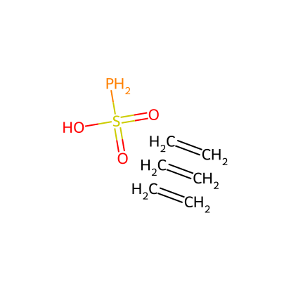 C=C.C=C.C=C.O=S(=O)(O)P